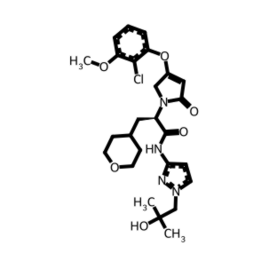 COc1cccc(OC2=CC(=O)N([C@H](CC3CCOCC3)C(=O)Nc3ccn(CC(C)(C)O)n3)C2)c1Cl